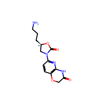 NCCC[C@@H]1CN(c2ccc3c(n2)NC(=O)CO3)C(=O)O1